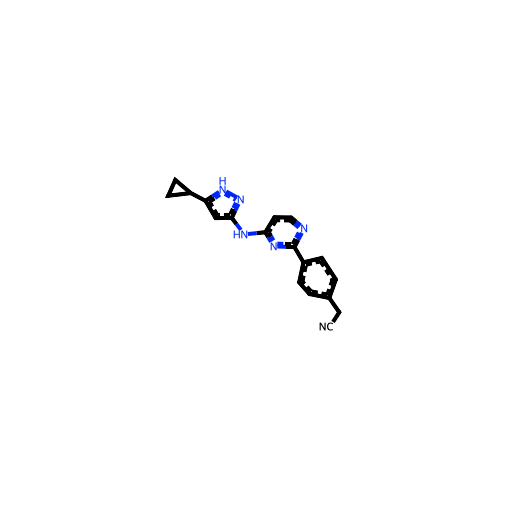 N#CCc1ccc(-c2nccc(Nc3cc(C4CC4)[nH]n3)n2)cc1